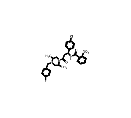 CC1CN(C(=O)CC(NC(=O)c2ccccc2[N+](=O)[O-])c2ccc(Cl)cc2)C(C)CN1Cc1ccc(F)cc1